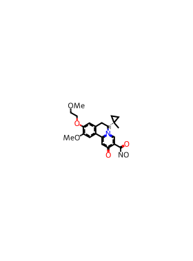 COCCOc1cc2c(cc1OC)-c1cc(=O)c(C(=O)N=O)cn1[C@@H](C1(C)CC1)C2